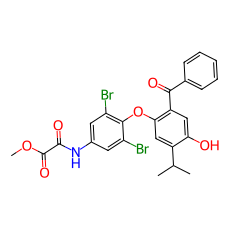 COC(=O)C(=O)Nc1cc(Br)c(Oc2cc(C(C)C)c(O)cc2C(=O)c2ccccc2)c(Br)c1